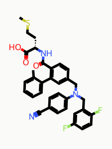 CSCC[C@H](NC(=O)c1ccc(CN(Cc2cc(F)ccc2F)c2ccc(C#N)cc2)cc1-c1ccccc1C)C(=O)O